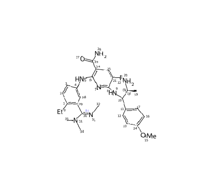 CCc1ccc(Nc2nc(NC(c3ccc(OC)cc3)[C@H](C)N)c(F)cc2C(N)=O)cc1/C(=N\C)N(C)C